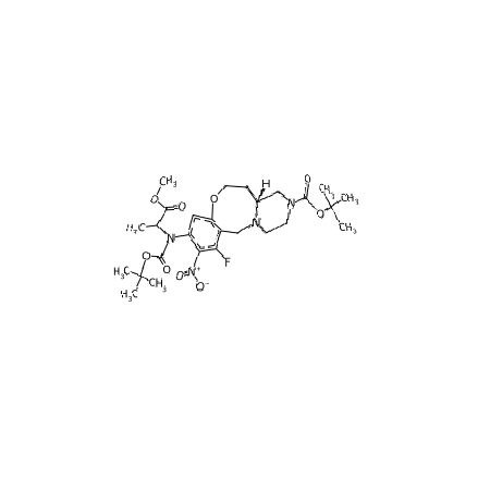 COC(=O)C(C)N(C(=O)OC(C)(C)C)c1cc2c(c(F)c1[N+](=O)[O-])CN1CCN(C(=O)OC(C)(C)C)C[C@H]1CCO2